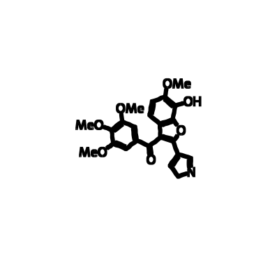 COc1cc(C(=O)c2c(C3=CCN=C3)oc3c(O)c(OC)ccc23)cc(OC)c1OC